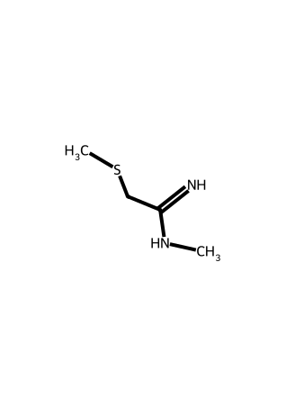 CNC(=N)CSC